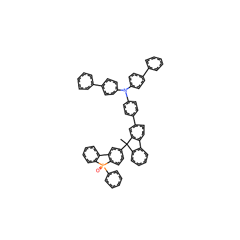 CC1(c2ccc3c(c2)-c2ccccc2P3(=O)c2ccccc2)c2ccccc2-c2ccc(-c3ccc(N(c4ccc(-c5ccccc5)cc4)c4ccc(-c5ccccc5)cc4)cc3)cc21